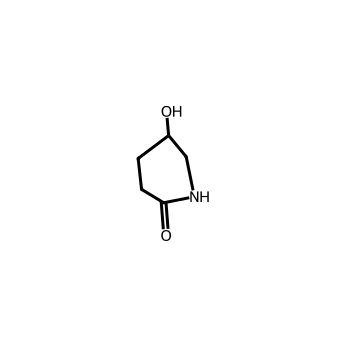 O=C1CCC(O)CN1